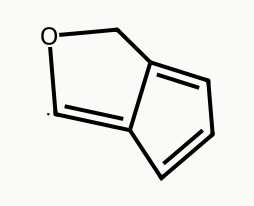 [C]1=C2C=CC=C2CO1